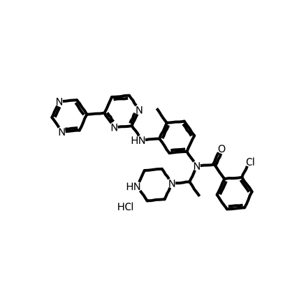 Cc1ccc(N(C(=O)c2ccccc2Cl)C(C)N2CCNCC2)cc1Nc1nccc(-c2cncnc2)n1.Cl